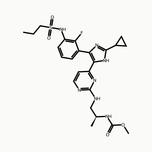 CCCS(=O)(=O)Nc1cccc(-c2nc(C3CC3)[nH]c2-c2ccnc(NC[C@H](C)NC(=O)OC)n2)c1F